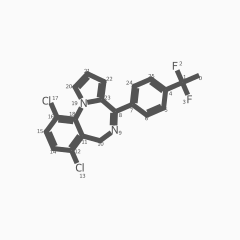 CC(F)(F)c1ccc(C2=NCc3c(Cl)ccc(Cl)c3-n3cccc32)cc1